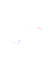 O[C@H]1CC[C@H](NI)C1